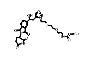 CC(C)(C)OC(=O)NCCOCCOCCn1nncc1CC(O)c1ccc2c(c1)C(=O)N(C1CCC(=O)NC1=O)C2=O